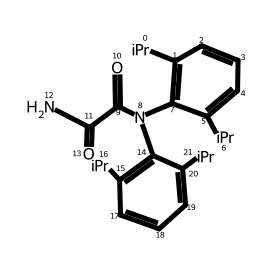 CC(C)c1cccc(C(C)C)c1N(C(=O)C(N)=O)c1c(C(C)C)cccc1C(C)C